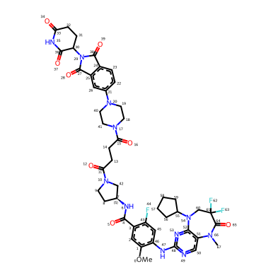 COc1cc(C(=O)N[C@H]2CCN(C(=O)CCC(=O)N3CCN(c4ccc5c(c4)C(=O)N(C4CCC(=O)NC4=O)C5=O)CC3)C2)c(F)cc1Nc1ncc2c(n1)N(C1CCCC1)CC(F)(F)C(=O)N2C